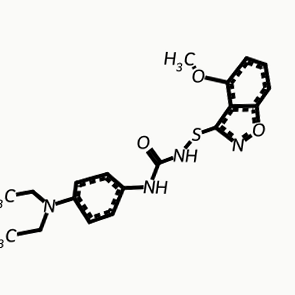 CCN(CC)c1ccc(NC(=O)NSc2noc3cccc(OC)c23)cc1